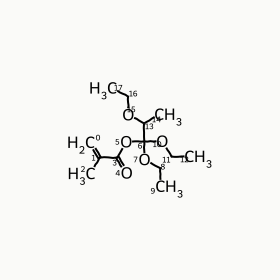 C=C(C)C(=O)OC(OCC)(OCC)C(C)OCC